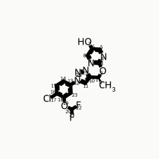 C[C@H](Oc1ncc(O)cn1)c1cn(-c2ccc(Cl)c(OC(F)F)c2)nn1